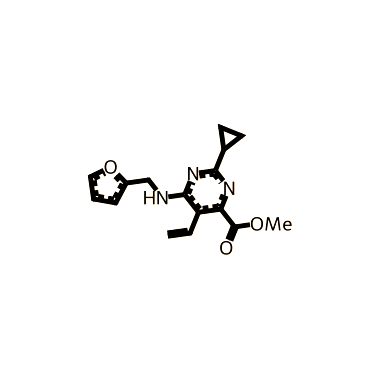 C=Cc1c(NCc2ccco2)nc(C2CC2)nc1C(=O)OC